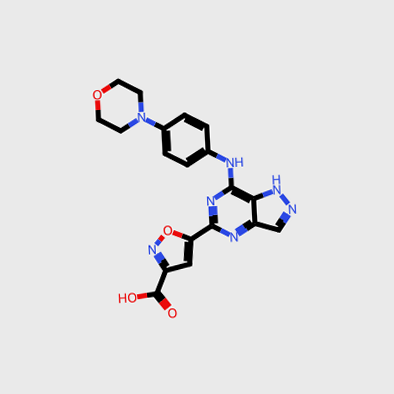 O=C(O)c1cc(-c2nc(Nc3ccc(N4CCOCC4)cc3)c3[nH]ncc3n2)on1